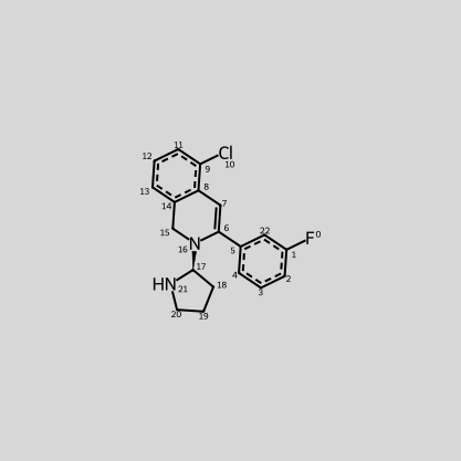 Fc1cccc(C2=Cc3c(Cl)cccc3CN2[C@H]2CCCN2)c1